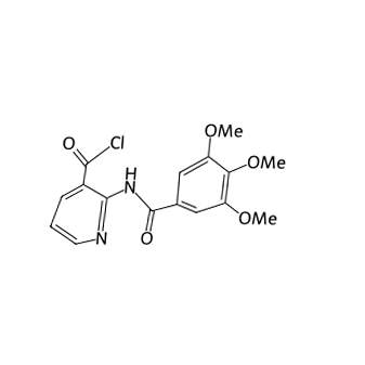 COc1cc(C(=O)Nc2ncccc2C(=O)Cl)cc(OC)c1OC